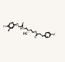 O=C(COc1ccc(Cl)cc1)NCC[C@H](O)CNC(=O)COc1ccc(Cl)c(F)c1